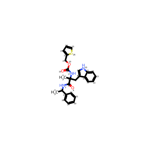 CC(NC(=O)C(C)(Cc1c[nH]c2ccccc12)NC(=O)OCc1cccs1)c1ccccc1